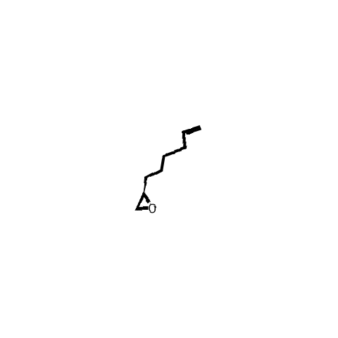 C=CCCCC[C@@H]1CO1